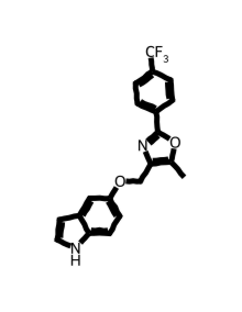 Cc1oc(-c2ccc(C(F)(F)F)cc2)nc1COc1ccc2[nH]ccc2c1